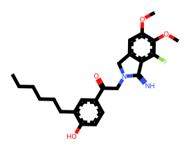 CCCC[CH]Cc1cc(C(=O)CN2Cc3cc(OC)c(OC)c(F)c3C2=N)ccc1O